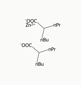 CCCCC(CCC)C(=O)[O-].CCCCC(CCC)C(=O)[O-].[Zn+2]